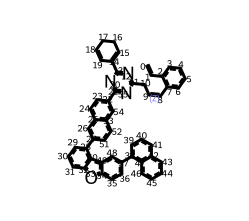 C=Cc1ccccc1/C=C\Cc1nc(C2=CCCC=C2)nc(-c2ccc3cc(-c4cccc5oc6ccc(-c7cccc8ccccc78)cc6c45)ccc3c2)n1